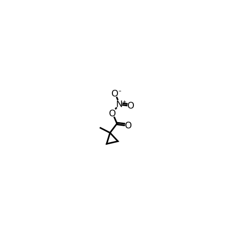 CC1(C(=O)O[N+](=O)[O-])CC1